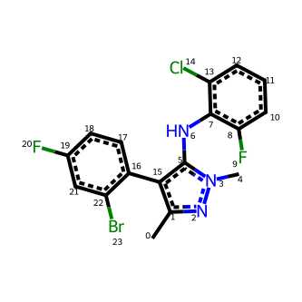 Cc1nn(C)c(Nc2c(F)cccc2Cl)c1-c1ccc(F)cc1Br